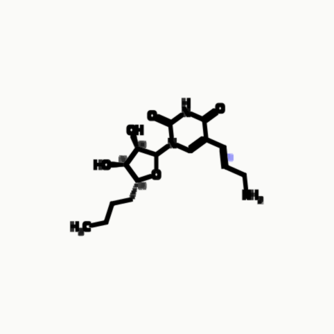 CCCC[C@H]1OC(n2cc(/C=C/CN)c(=O)[nH]c2=O)[C@H](O)[C@@H]1O